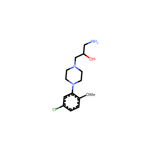 COc1ccc(Cl)cc1N1CCN(CC(O)CN)CC1